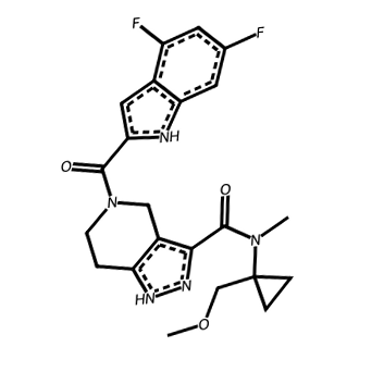 COCC1(N(C)C(=O)c2n[nH]c3c2CN(C(=O)c2cc4c(F)cc(F)cc4[nH]2)CC3)CC1